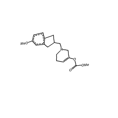 COC(=O)OC1=CCCN(CC2Cc3ccc(OC)cc3C2)C1